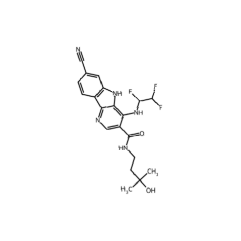 CC(C)(O)CCNC(=O)c1cnc2c([nH]c3cc(C#N)ccc32)c1NC(F)C(F)F